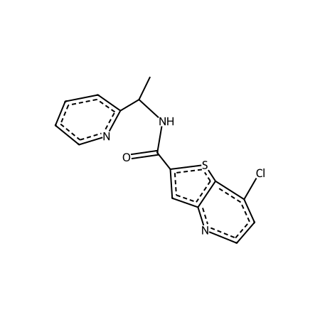 CC(NC(=O)c1cc2nccc(Cl)c2s1)c1ccccn1